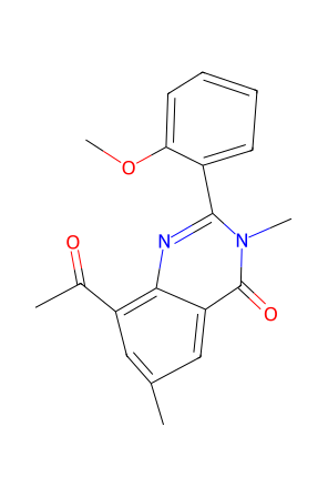 COc1ccccc1-c1nc2c(C(C)=O)cc(C)cc2c(=O)n1C